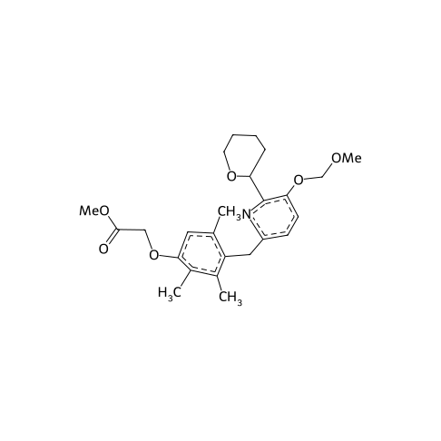 COCOc1ccc(Cc2c(C)cc(OCC(=O)OC)c(C)c2C)nc1C1CCCCO1